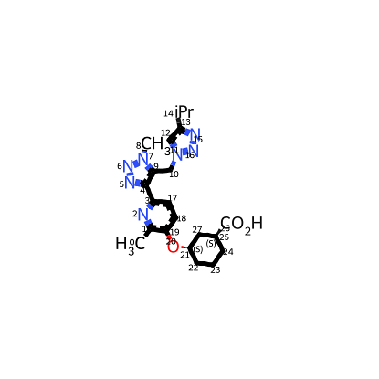 Cc1nc(-c2nnn(C)c2Cn2cc(C(C)C)nn2)ccc1O[C@H]1CCC[C@H](C(=O)O)C1